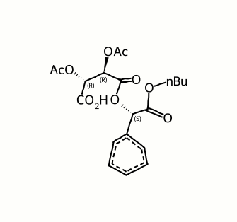 CCCCOC(=O)[C@@H](OC(=O)[C@H](OC(C)=O)[C@@H](OC(C)=O)C(=O)O)c1ccccc1